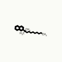 CCCCCCCCCC(C)(C)c1ccc2ccccc2c1